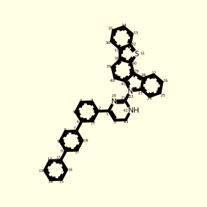 C1=C(c2cccc(-c3ccc(-c4ccccc4)cc3)c2)N=C(n2c3ccccc3c3c4sc5ccccc5c4ccc32)NC1